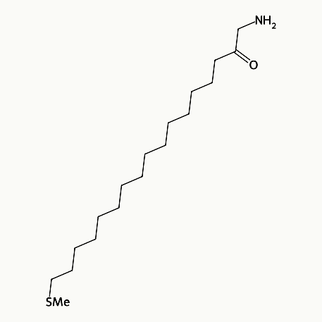 CSCCCCCCCCCCCCCCCC(=O)CN